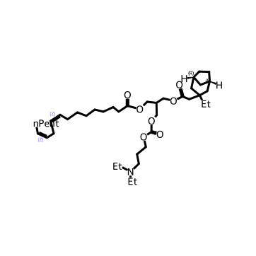 CCCCC/C=C\C/C=C\CCCCCCCC(=O)OCC(COC(=O)CC1(CC)C[C@@H]2CC[C@@H](C2)C1)COC(=O)OCCCN(CC)CC